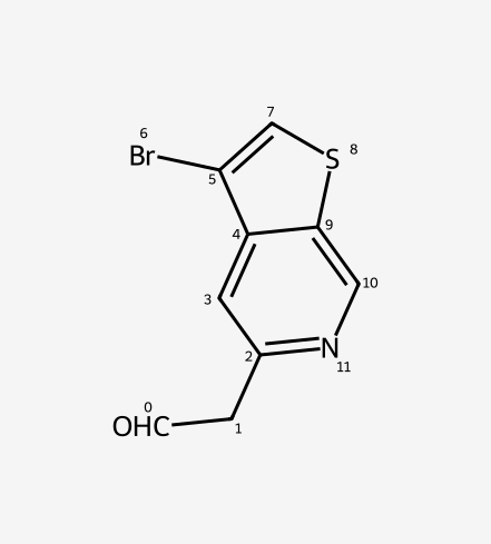 O=CCc1cc2c(Br)csc2cn1